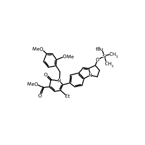 CCc1cc(C(=O)OC)c(=O)n(Cc2ccc(OC)cc2OC)c1-c1ccc2c(c1)cc1n2CCC1O[Si](C)(C)C(C)(C)C